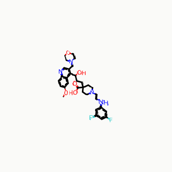 COc1ccc2ncc(CN3CCOCC3)c([C@@H](O)CCC3(C(=O)O)CCN(CCNc4cc(F)cc(F)c4)CC3)c2c1